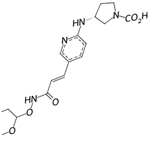 O=C(C=Cc1ccc(N[C@@H]2CCN(C(=O)O)C2)nc1)NOC1CCCCO1